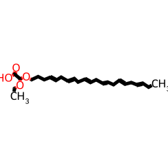 CCC=CCC=CCC=CCC=CCC=CCC=CCCCOC(OCC)C(=O)O